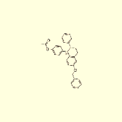 CC(=O)Oc1ccc([C@@H]2c3ccc(OCc4ccccc4)cc3CCC2c2ccccc2)cc1